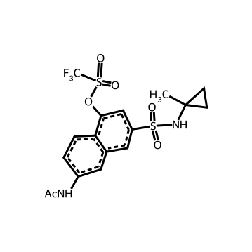 CC(=O)Nc1ccc2c(OS(=O)(=O)C(F)(F)F)cc(S(=O)(=O)NC3(C)CC3)cc2c1